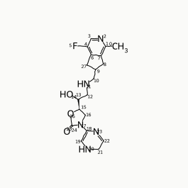 Cc1ncc(F)c2c1CC(CNCC(O)[C@H]1CN(C3=CNCC=N3)C(=O)O1)C2